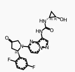 O=C1C[C@H](c2cc(F)ccc2F)N(c2ccn3ncc(NC(=O)N[C@@H]4C[C@H]4O)c3n2)C1